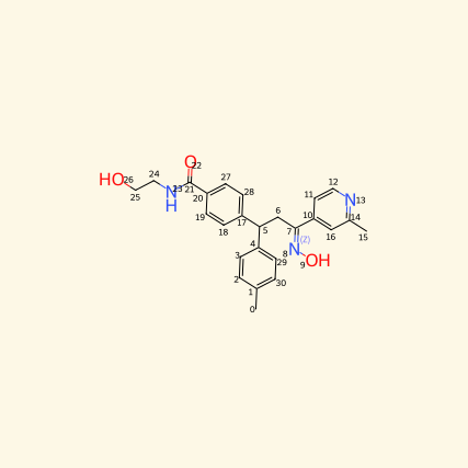 Cc1ccc(C(C/C(=N/O)c2ccnc(C)c2)c2ccc(C(=O)NCCO)cc2)cc1